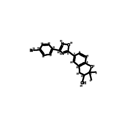 CC1(C)Oc2ncc(-c3nc(-c4ccc(Br)cc4)no3)cc2CC1O